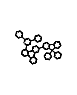 c1ccc(-c2cc(-c3ccccc3)nc(-c3cccc4c5ccccc5c5cc(-c6ccc7c(c6)C(c6ccccc6)(c6ccccc6)c6ccccc6-7)ccc5c34)c2)cc1